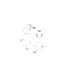 CC(=O)OC[C@H]1O[C@@H](c2ccc(Cl)c(C=C3C4CC5CC(C4)CC3C5)c2)[C@H](OC(C)=O)[C@@H](OC(C)=O)[C@@H]1OC(C)=O